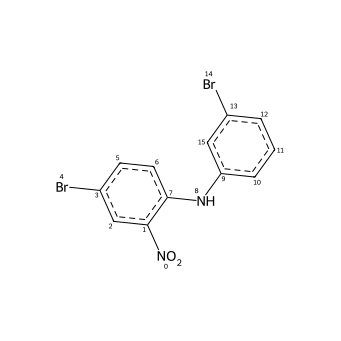 O=[N+]([O-])c1cc(Br)ccc1Nc1cccc(Br)c1